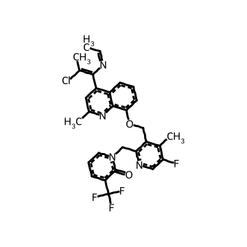 C/C=N\C(=C(/C)Cl)c1cc(C)nc2c(OCc3c(Cn4cccc(C(F)(F)F)c4=O)ncc(F)c3C)cccc12